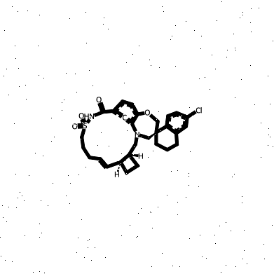 O=C1NS(=O)(=O)CCC/C=C/[C@@H]2CC[C@H]2CN2C[C@@]3(CCCc4cc(Cl)ccc43)COc3ccc1cc32